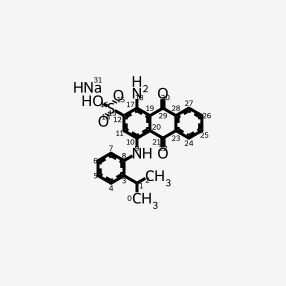 CC(C)c1ccccc1Nc1cc(S(=O)(=O)O)c(N)c2c1C(=O)c1ccccc1C2=O.[NaH]